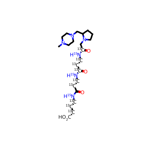 CN1CCN(CC2CCCN2C[13C](=O)[15NH][13CH2][13CH2][13C](=O)[15NH][13CH2][13CH2]C(=O)[15NH][13CH2][13CH2][13CH2][13C](=O)O)CC1